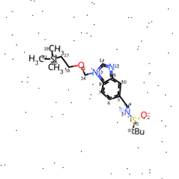 CC(C)(C)[S@+]([O-])/N=C/c1ccc2c(c1)ncn2COCC[Si](C)(C)C